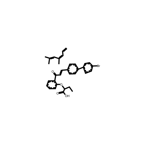 C=C/C=C(/C)C=C(C)C.CCC(Oc1ccccc1C(=O)/C=C/c1ccc(-c2ccc(Br)cc2)cc1)C(=O)O